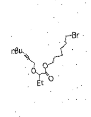 CCCCC#CCOC(CC)C(=O)OCCCCCCBr